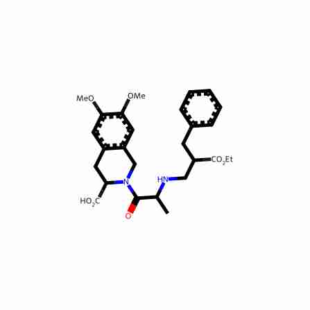 CCOC(=O)C(CNC(C)C(=O)N1Cc2cc(OC)c(OC)cc2CC1C(=O)O)Cc1ccccc1